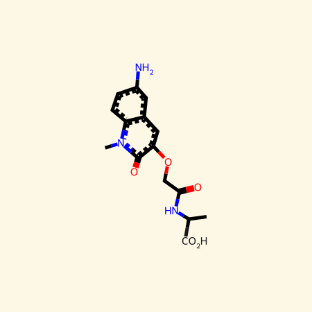 CC(NC(=O)COc1cc2cc(N)ccc2n(C)c1=O)C(=O)O